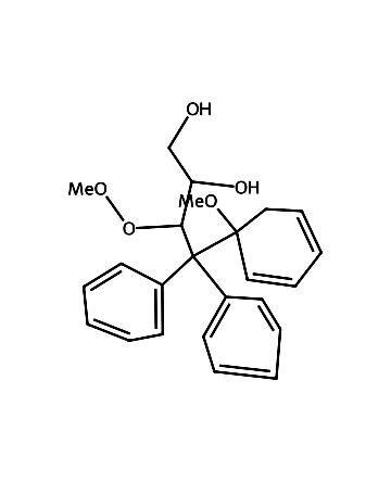 COOC(C(O)CO)C(c1ccccc1)(c1ccccc1)C1(OC)C=CC=CC1